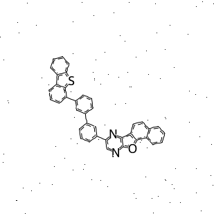 c1cc(-c2cccc(-c3cccc4c3sc3ccccc34)c2)cc(-c2cnc3oc4c5ccccc5ccc4c3n2)c1